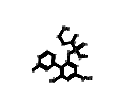 CCCCCc1cc(O)c(-c2cccc(C)c2)c(OP(=O)(OC)C(C)CCOC(C)=O)c1